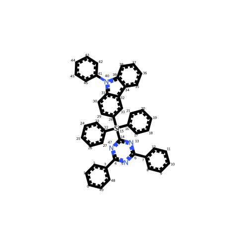 c1ccc(-c2nc(-c3ccccc3)nc([Si](c3ccccc3)(c3ccccc3)c3ccc4c(c3)c3ccccc3n4-c3ccccc3)n2)cc1